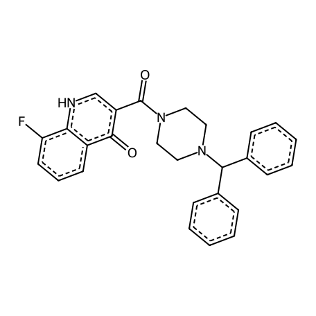 O=C(c1c[nH]c2c(F)cccc2c1=O)N1CCN(C(c2ccccc2)c2ccccc2)CC1